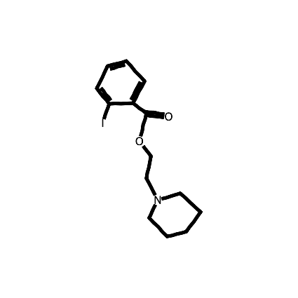 O=C(OCCN1CCCCC1)c1ccccc1I